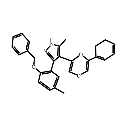 Cc1ccc(OCc2ccccc2)c(-c2n[nH]c(C)c2C2=COC=C(C3=CC=CCC3)O2)c1